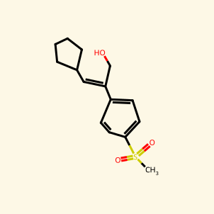 CS(=O)(=O)c1ccc(/C(=C/C2CCCC2)CO)cc1